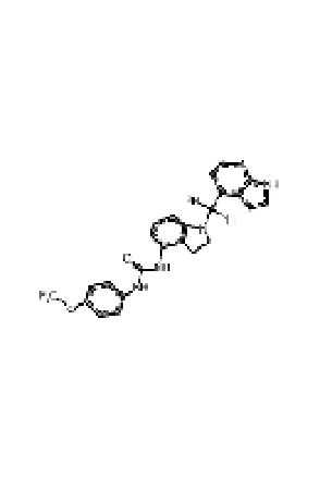 [2H]C([2H])(c1ccnc2[nH]ccc12)N1CCc2c(NC(=O)Nc3ccc(OC(F)(F)F)cc3)cccc21